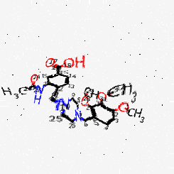 COc1ccc(CN2CCN(Cc3ccc(C(=O)O)cc3NC(C)=O)CC2)c(OC)c1OC